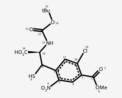 COC(=O)c1cc([N+](=O)[O-])c(C(S)[C@H](NC(=O)OC(C)(C)C)C(=O)O)cc1Cl